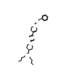 CCCCOC(OCCCC)C1CCN(c2cnc(C3=CCN(C(=O)OCc4ccccc4)CC3)cn2)CC1